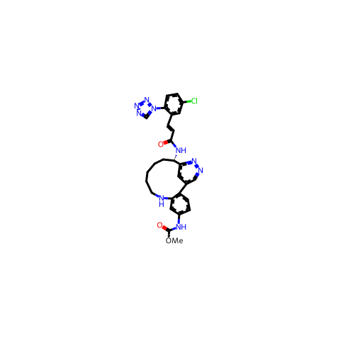 COC(=O)Nc1ccc2c(c1)NCCCCC[C@H](NC(=O)/C=C/c1cc(Cl)ccc1-n1cnnn1)c1cc-2cnn1